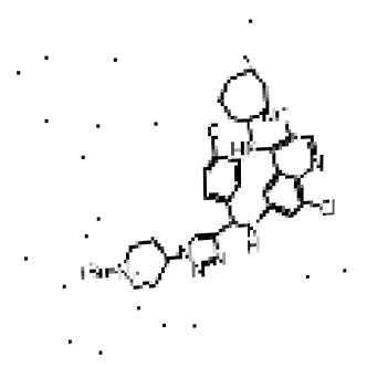 CC(C)(C)N1CCC(n2cc(C(Nc3cc(Cl)c4ncc(C#N)c(NC5CCCCCC5)c4c3)c3ccc(Cl)cc3)nn2)CC1